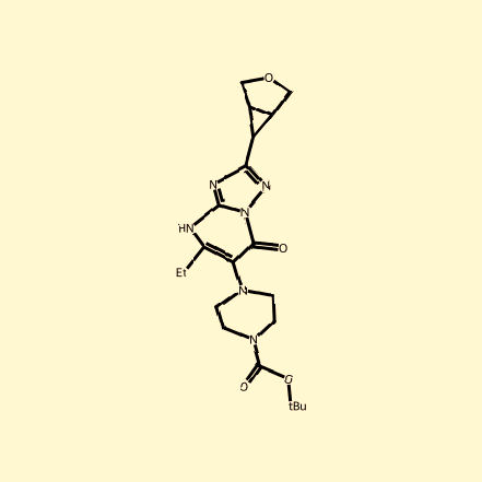 CCc1[nH]c2nc(C3C4COCC43)nn2c(=O)c1N1CCN(C(=O)OC(C)(C)C)CC1